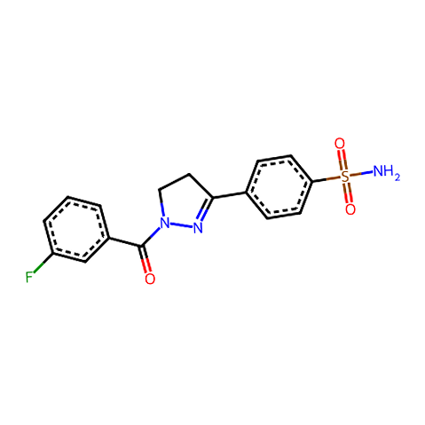 NS(=O)(=O)c1ccc(C2=NN(C(=O)c3cccc(F)c3)CC2)cc1